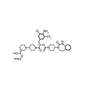 CCCCCCOC(O)[C@H]1CCCN(C2CCN(C(=O)[C@@H](Cc3cc(Cl)c(N)c(C(F)(F)F)c3)OC(=O)N3CCC(N4CCc5ccccc5NC4=O)CC3)CC2)C1